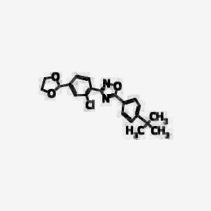 CC(C)(C)c1ccc(-c2nc(-c3ccc(C4OCCO4)cc3Cl)no2)cc1